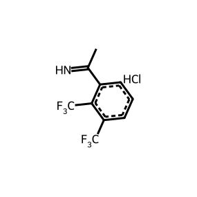 CC(=N)c1cccc(C(F)(F)F)c1C(F)(F)F.Cl